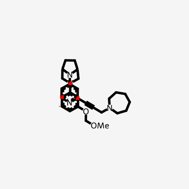 COCOc1c[c]cc(N2CC3CCC(C2)N3c2ccnc(C#CCN3CCCCCC3)c2)c1